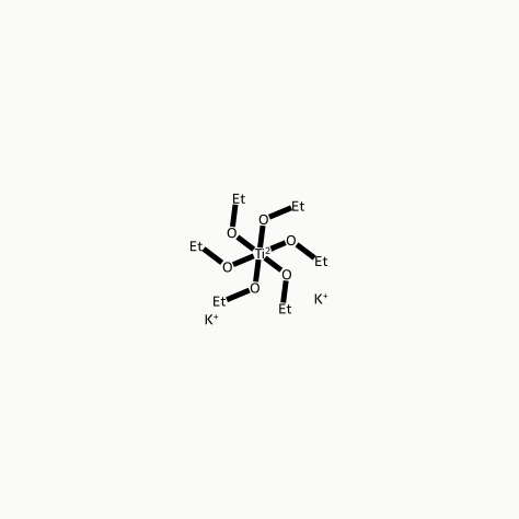 CC[O][Ti-2]([O]CC)([O]CC)([O]CC)([O]CC)[O]CC.[K+].[K+]